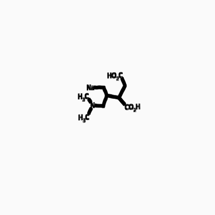 CN(C)CC([CH2][Na])C(CC(=O)O)C(=O)O